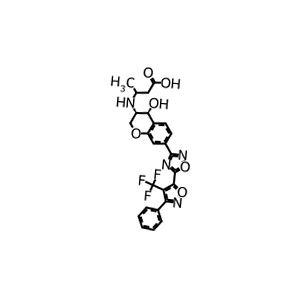 CC(CC(=O)O)N[C@@H]1COc2cc(-c3noc(-c4onc(-c5ccccc5)c4C(F)(F)F)n3)ccc2[C@@H]1O